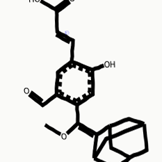 COC(=C1C2CC3CC(C2)CC1C3)c1cc(O)c(/C=C/C(=O)O)cc1C=O